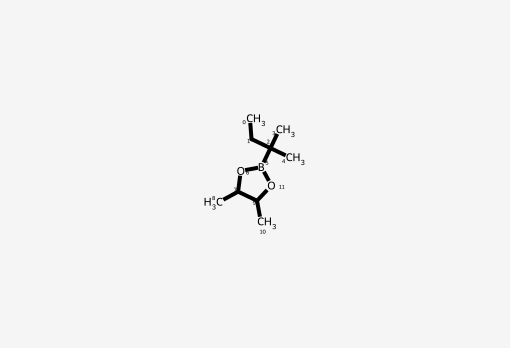 CCC(C)(C)B1OC(C)C(C)O1